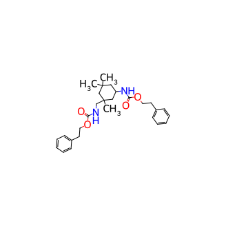 CC1(C)CC(NC(=O)OCCc2ccccc2)CC(C)(CNC(=O)OCCc2ccccc2)C1